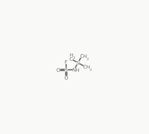 C[Si](C)(C)NS(=O)(=O)F